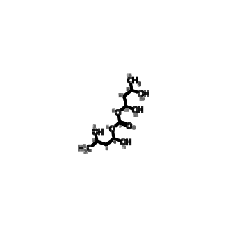 CC(O)CC(O)OC(=O)OC(O)CC(C)O